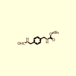 CC(C)(C)OC(=O)NCc1ccc(CN[C]=O)cc1